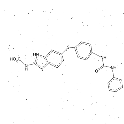 O=C(O)Nc1nc2ccc(Sc3ccc(NC(=O)Nc4ccccc4)cc3)cc2[nH]1